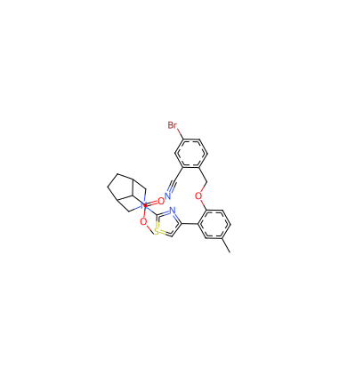 COC(=O)C1C2CCC1CN(c1nc(-c3cc(C)ccc3OCc3ccc(Br)cc3C#N)cs1)C2